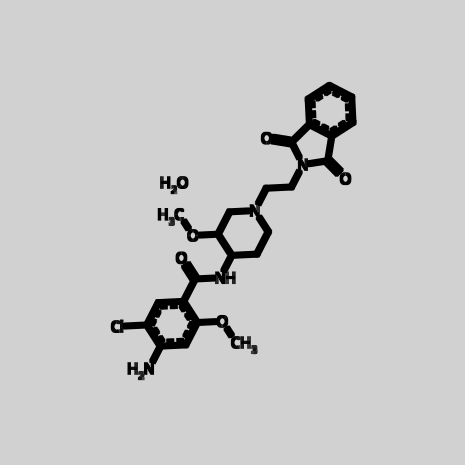 COc1cc(N)c(Cl)cc1C(=O)NC1CCN(CCN2C(=O)c3ccccc3C2=O)CC1OC.O